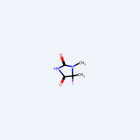 CN1C(=O)NC(=O)C1(C)I